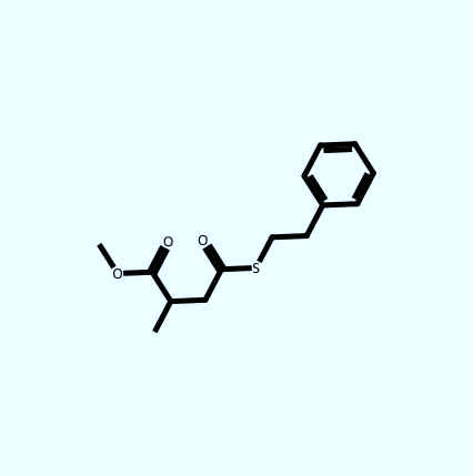 COC(=O)C(C)CC(=O)SCCc1ccccc1